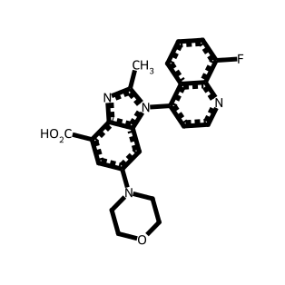 Cc1nc2c(C(=O)O)cc(N3CCOCC3)cc2n1-c1ccnc2c(F)cccc12